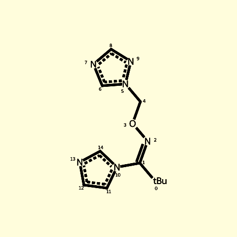 CC(C)(C)C(=NOCn1cncn1)n1ccnc1